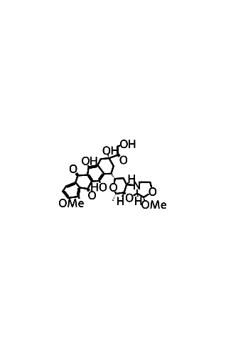 COc1cccc2c1C(=O)c1c(O)c3c(c(O)c1C2=O)C[C@@](O)(C(=O)CO)CC3[C@@H]1C[C@@H]2[C@H](O[C@@H]3[C@@H](OC)OCCN23)[C@H](C)O1